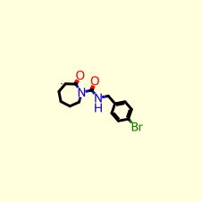 O=C1[CH]CCCCN1C(=O)NCc1ccc(Br)cc1